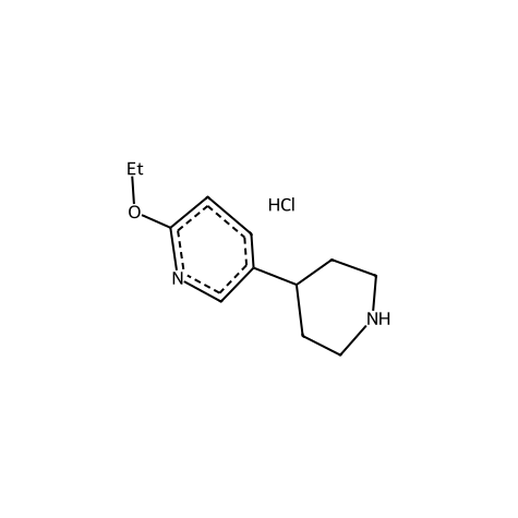 CCOc1ccc(C2CCNCC2)cn1.Cl